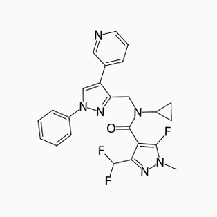 Cn1nc(C(F)F)c(C(=O)N(Cc2nn(-c3ccccc3)cc2-c2cccnc2)C2CC2)c1F